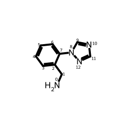 NCc1ccccc1-n1cncn1